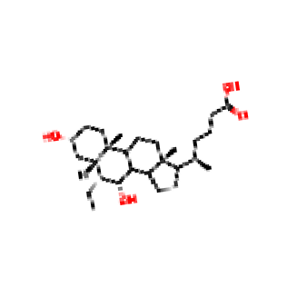 CC[C@H]1[C@@H](O)C2C3CCC([C@H](C)CCCC(=O)O)[C@@]3(C)CCC2[C@@]2(C)CC[C@@H](O)C[C@@H]12